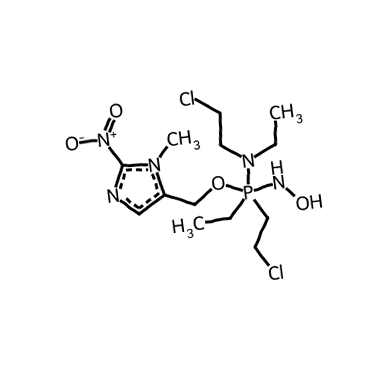 CCN(CCCl)P(CC)(CCCl)(NO)OCc1cnc([N+](=O)[O-])n1C